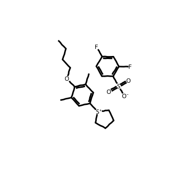 CCCCOc1c(C)cc([S+]2CCCC2)cc1C.O=S(=O)([O-])c1ccc(F)cc1F